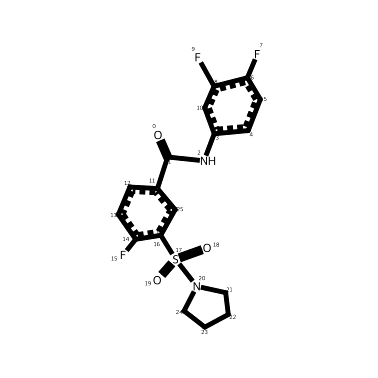 O=C(Nc1ccc(F)c(F)c1)c1ccc(F)c(S(=O)(=O)N2CCCC2)c1